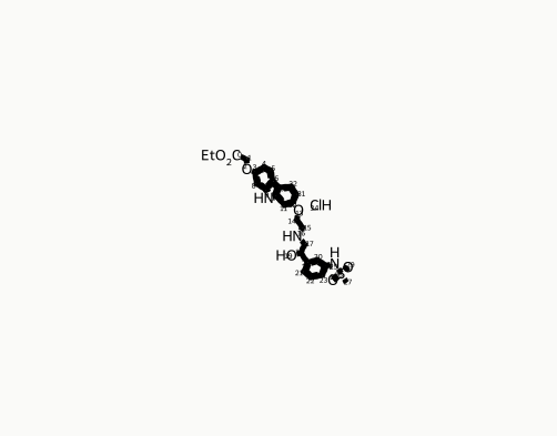 CCOC(=O)COc1ccc2c(c1)[nH]c1cc(OCCNCC(O)c3cccc(NS(C)(=O)=O)c3)ccc12.Cl